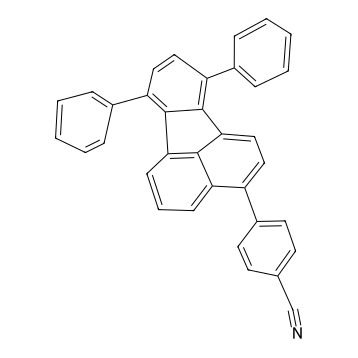 N#Cc1ccc(-c2ccc3c4c(cccc24)-c2c(-c4ccccc4)ccc(-c4ccccc4)c2-3)cc1